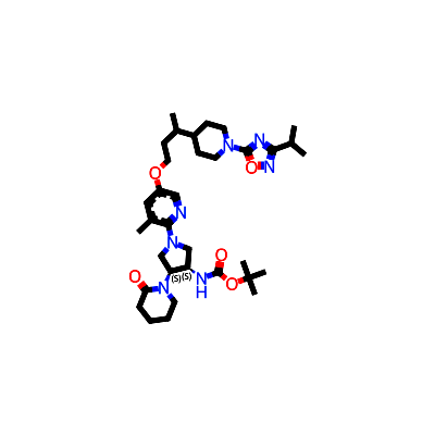 Cc1cc(OCCC(C)C2CCN(c3nc(C(C)C)no3)CC2)cnc1N1C[C@H](NC(=O)OC(C)(C)C)[C@@H](N2CCCCC2=O)C1